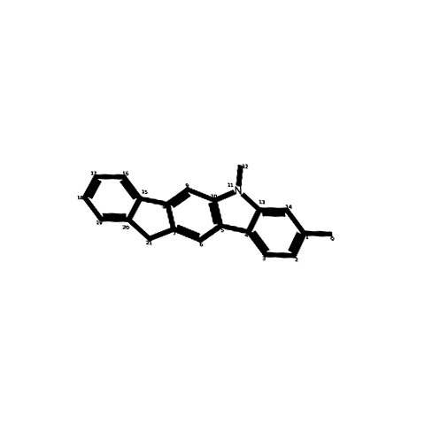 Cc1ccc2c3cc4c(cc3n(C)c2c1)-c1ccccc1C4